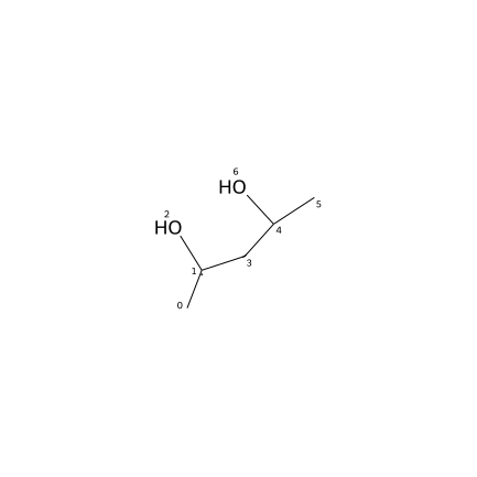 C[C](O)CC(C)O